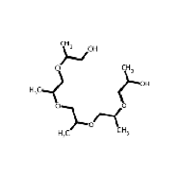 CC(O)COC(C)COC(C)COC(C)COC(C)CO